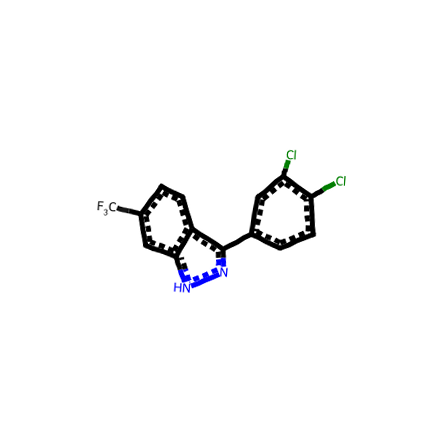 FC(F)(F)c1ccc2c(-c3ccc(Cl)c(Cl)c3)n[nH]c2c1